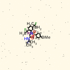 BC(C)(F)c1ccc(C(B)(F)P)c(N(CC(=O)N/C(C)=C/C)S(=O)(=O)c2ccc(OC)cc2)c1